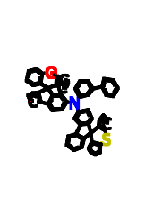 c1ccc(-c2cccc(N(c3ccc4c(c3)-c3ccccc3C43c4ccccc4Sc4ccccc43)c3ccc4c(c3)C3(c5ccccc5Oc5ccccc53)c3ccccc3-4)c2)cc1